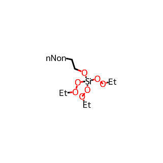 CCCCCCCCCCCO[Si](OOCC)(OOCC)OOCC